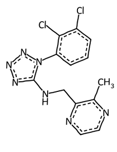 Cc1nccnc1CNc1nnnn1-c1cccc(Cl)c1Cl